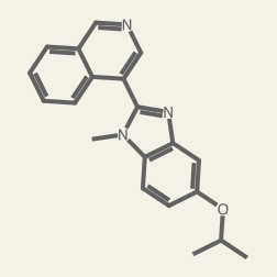 CC(C)Oc1ccc2c(c1)nc(-c1cncc3ccccc13)n2C